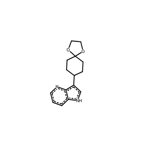 c1cnc2c(C3CCC4(CC3)OCCO4)c[nH]c2c1